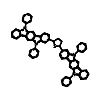 c1ccc(-n2c3ccccc3c3cc4c(cc32)c2ccc(C3CCC(c5ccc6c7cc8c(cc7n(-c7ccccc7)c6c5)c5ccccc5n8-c5ccccc5)S3)cc2n4-c2ccccc2)cc1